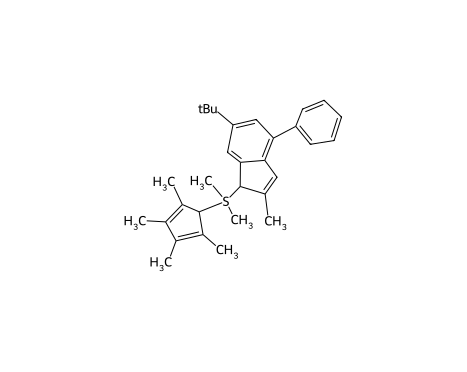 CC1=Cc2c(-c3ccccc3)cc(C(C)(C)C)cc2C1S(C)(C)C1C(C)=C(C)C(C)=C1C